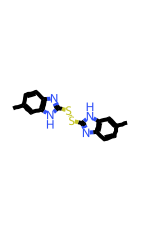 Cc1ccc2nc(SSc3nc4ccc(C)cc4[nH]3)[nH]c2c1